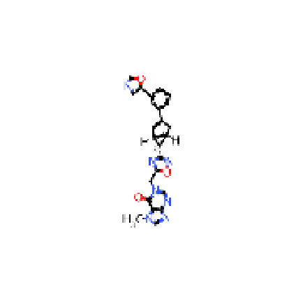 Cn1cnc2ncn(Cc3nc([C@@H]4[C@H]5C=C(c6cccc(-c7cnco7)c6)C[C@H]54)no3)c(=O)c21